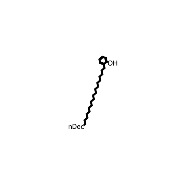 CCCCCCCCCCCCCCCCCCCCCCCCCCCCCc1ccccc1O